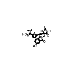 COc1ccc2c(c1)C(=O)N(C[C@@]1(C#Cc3ccc(C(=NO)N(C)C)s3)NC(=O)NC1=O)C2